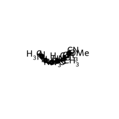 COc1cc(OC2C(C)(C)C(NC(=O)c3ccc(N4CCC(CN5CCN(c6cnc(C)nc6)CC5)CC4)cc3)C2(C)C)ccc1C#N